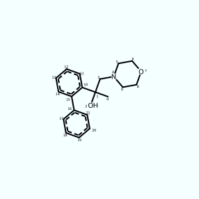 CC(O)(CN1CCOCC1)c1ccccc1-c1ccccc1